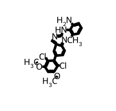 COc1cc(OC)c(Cl)c(-c2ccc3nc(Nc4c(C)cccc4N)ncc3c2)c1Cl